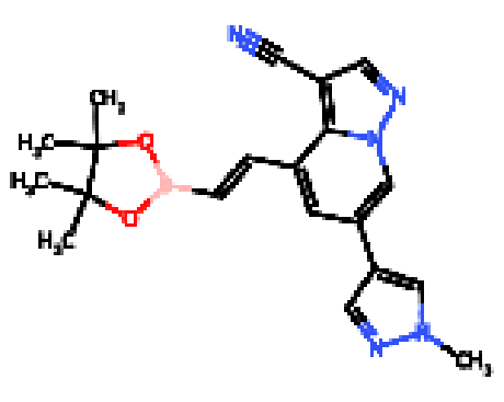 Cn1cc(-c2cc(/C=C/B3OC(C)(C)C(C)(C)O3)c3c(C#N)cnn3c2)cn1